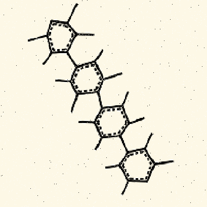 Cc1cc(C)c(C)c(-c2c(C)c(C)c(-c3c(C)c(C)c(-c4c(C)c(C)cc(C)c4C)c(C)c3C)c(C)c2C)c1C